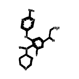 CCC(CC(=O)O)c1cc(F)c(N(CC)C2CCOCC2)c(Nc2cnc(OC)nc2)c1